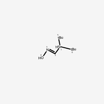 CC(C)(C)[SiH](C=NO)C(C)(C)C